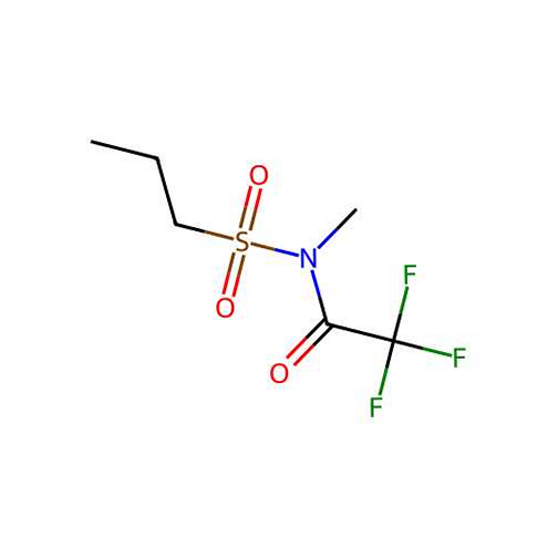 CCCS(=O)(=O)N(C)C(=O)C(F)(F)F